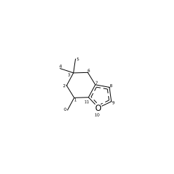 CC1CC(C)(C)Cc2ccoc21